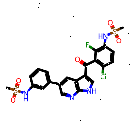 CS(=O)(=O)Nc1cccc(-c2cnc3[nH]cc(C(=O)c4c(Cl)ccc(NS(C)(=O)=O)c4F)c3c2)c1